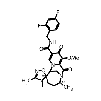 COc1c2n(cc(C(=O)NCc3ccc(F)cc3F)c1=O)C1CN(C2=O)[C@@H](C)CC[C@]12NC(C)=NO2